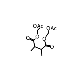 CC(=O)OCOC(=O)C(C)C(C)C(=O)OCOC(C)=O